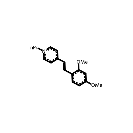 CCC[n+]1ccc(/C=C/c2ccc(OC)cc2OC)cc1